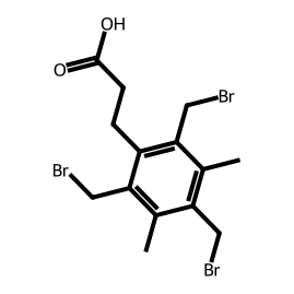 Cc1c(CBr)c(C)c(CBr)c(CCC(=O)O)c1CBr